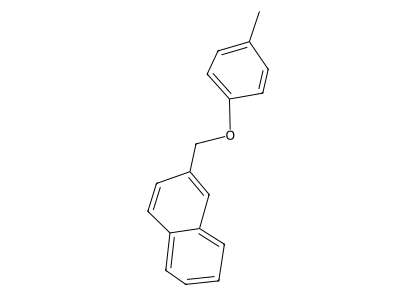 Cc1ccc(OCc2ccc3ccccc3c2)cc1